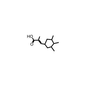 C/C(=C\C1CC(C)C(C)C(C)C1)C(=O)O